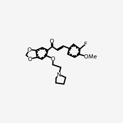 COc1ccc(/C=C/C(=O)c2cc3c(cc2OCCN2CCCC2)OCO3)cc1F